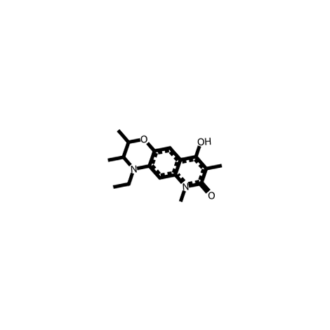 CCN1c2cc3c(cc2OC(C)C1C)c(O)c(C)c(=O)n3C